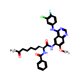 COc1cc2ncnc(Nc3ccc(F)c(Cl)c3)c2cc1NC(=O)[C@H](CCCCCC(C)=O)NC(=O)c1ccccc1